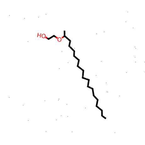 CCCCCCCCCCCCCCCCCC(C)OCCO